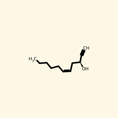 C#C[C@@H](O)C/C=C\CCCCC